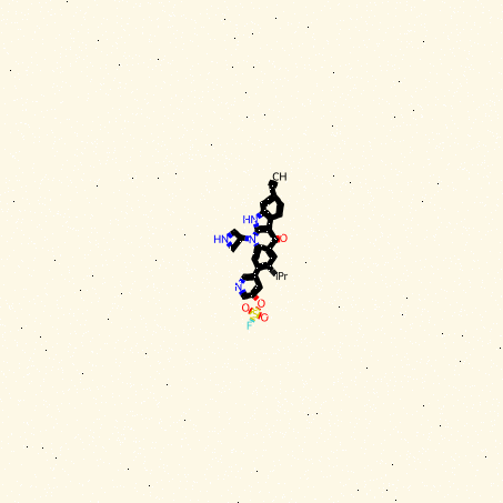 C#Cc1ccc2c(c1)[nH]c1c2c(=O)c2cc(C(C)C)c(-c3cncc(OS(=O)(=O)F)c3)cc2n1C1CNC1